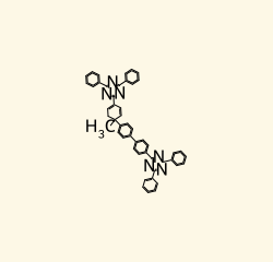 CC1(c2ccc(-c3ccc(-c4nc(C5=CC=C=C=C5)nc(-c5ccccc5)n4)cc3)cc2)C=CC(c2nc(-c3ccccc3)nc(-c3ccccc3)n2)=CC1